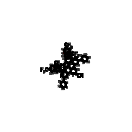 N#Cc1cc(-c2cc(-c3ccccc3)nc(-c3ccccc3)n2)c(-n2c3ccc(-c4ccc(C(F)(F)F)cc4C(F)(F)F)cc3c3cc(-c4ccc(C(F)(F)F)cc4C(F)(F)F)ccc32)c(-c2cc(-c3ccccc3)nc(-c3ccccc3)n2)c1